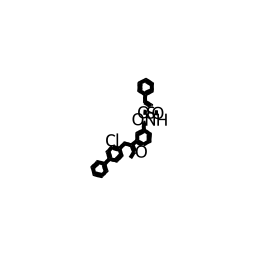 Cc1oc2ccc(C(=O)NS(=O)(=O)C=Cc3ccccc3)cc2c1Cc1ccc(-c2ccccc2)cc1Cl